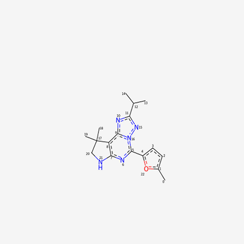 Cc1ccc(-c2nc3c(c4nc(C(C)C)nn24)C(C)(C)CN3)o1